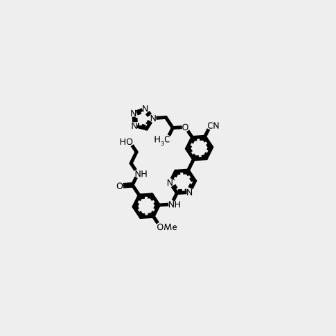 COc1ccc(C(=O)NCCO)cc1Nc1ncc(-c2ccc(C#N)c(OC(C)Cn3cnnn3)c2)cn1